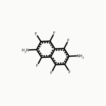 Nc1c(F)c(F)c2c(F)c(N)c(F)c(F)c2c1F